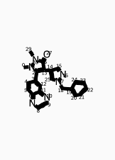 Cn1c(-c2ccc3nccnc3c2)c(-c2cnn(Cc3ccccc3)c2)c(=O)n1C